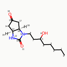 CCCCCC(O)CCN1C(=O)N[C@H]2CC(=O)C[C@H]21